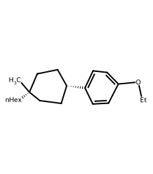 CCCCCC[C@]1(C)CC[C@H](c2ccc(OCC)cc2)CC1